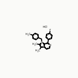 Cc1ccc(Cn2c(C)c(C)c3ccnc(-c4ccc(F)cc4)c32)cc1.Cl